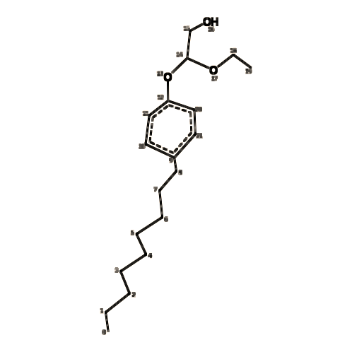 CCCCCCCCCc1ccc(OC(CO)OCC)cc1